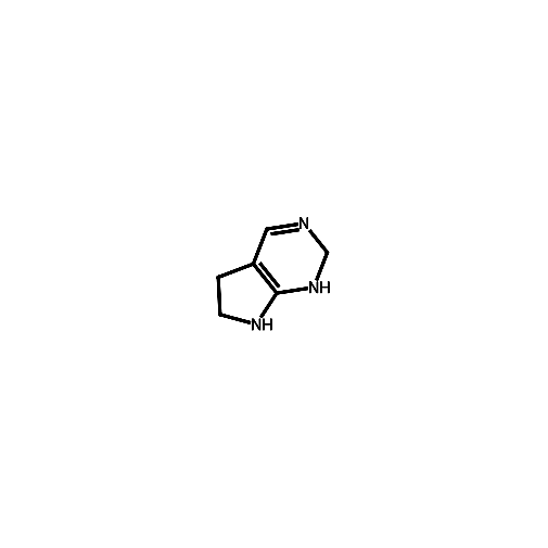 C1=NCNC2=C1CCN2